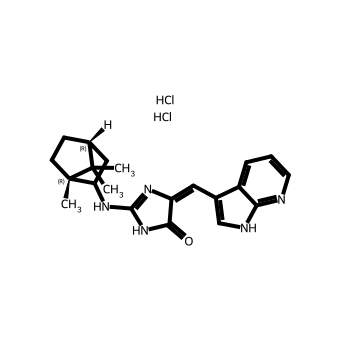 CC1(C)[C@@H]2CC[C@@]1(C)C(NC1=NC(=Cc3c[nH]c4ncccc34)C(=O)N1)C2.Cl.Cl